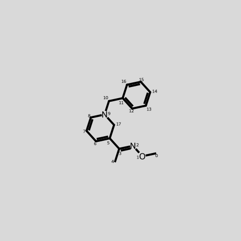 CON=C(C)C1=CC=CN(Cc2ccccc2)C1